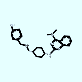 CN(C)c1nc(N[C@H]2CC[C@@H](CNCc3ccc(O)cc3)CC2)nc2ccccc12